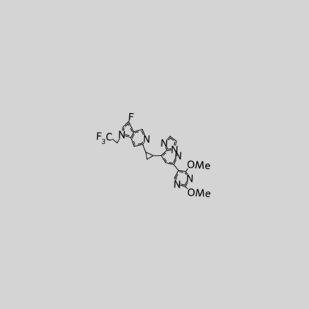 COc1ncc(-c2cc(C3CC3c3cc4c(cn3)c(F)cn4CC(F)(F)F)c3nccn3n2)c(OC)n1